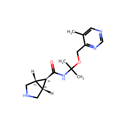 Cc1cncnc1COC(C)(C)NC(=O)[C@H]1[C@@H]2CNC[C@@H]21